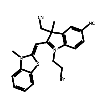 [C-]#[N+]c1ccc2c(c1)C(C)(CC#N)C(/C=C1\Sc3ccccc3N1C)=[N+]2CCC(C)C